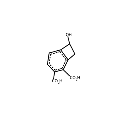 O=C(O)c1ccc2c(c1C(=O)O)CC2O